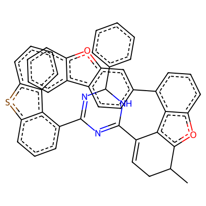 CC1CC=C(C2=NC(c3cccc4sc5ccccc5c34)=NC(c3ccccc3)N2)c2c1oc1cccc(-c3ccc4c(c3)oc3ccccc34)c21